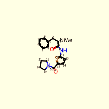 CN[C@@H](Cc1ccccc1)C(=O)Nc1ccc(C(=O)N2CCCC2)s1